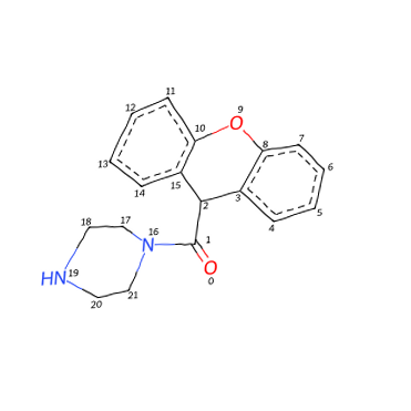 O=C(C1c2ccccc2Oc2ccccc21)N1CCNCC1